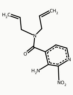 C=CCN(CC=C)C(=O)c1ccnc([N+](=O)[O-])c1N